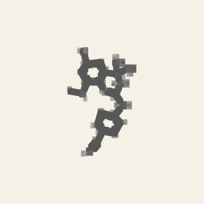 COc1cc(Cl)cc2c1N=C(Nc1ccc(C#N)cc1)NS2(O)O